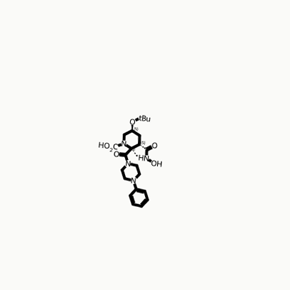 CC(C)(C)O[C@H]1C[C@H](C(=O)NO)[C@@](C)(C(=O)N2CCN(c3ccccc3)CC2)N(C(=O)O)C1